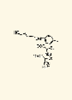 CCCCC(CC)C(=O)[O-].CCCCC(CC)C(=O)[O-].Cc1ccc(C)cc1.OCCCCO.[Pb+2]